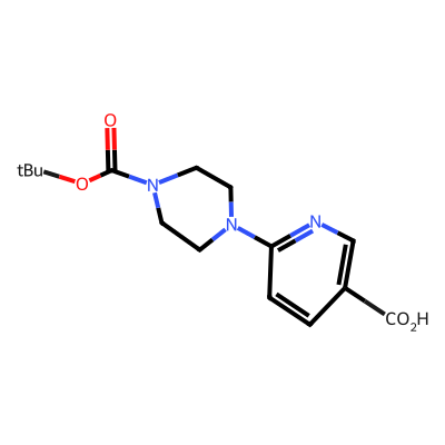 CC(C)(C)OC(=O)N1CCN(c2ccc(C(=O)O)cn2)CC1